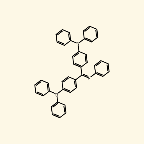 c1ccc(N=C(c2ccc(N(c3ccccc3)c3ccccc3)cc2)c2ccc(N(c3ccccc3)c3ccccc3)cc2)cc1